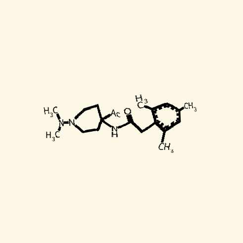 CC(=O)C1(NC(=O)Cc2c(C)cc(C)cc2C)CCN(N(C)C)CC1